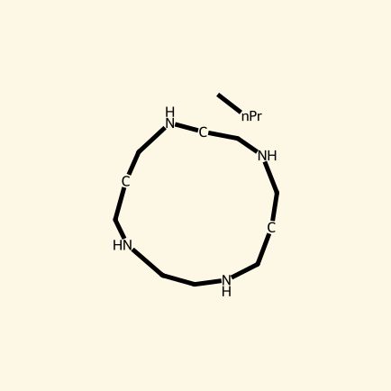 C1CNCCNCCCNCCNC1.CCCC